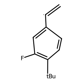 C=[C]c1ccc(C(C)(C)C)c(F)c1